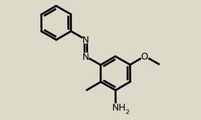 COc1cc(N)c(C)c(N=Nc2ccccc2)c1